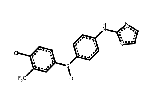 [O-][S+](c1ccc(Nc2nccs2)cc1)c1ccc(Cl)c(C(F)(F)F)c1